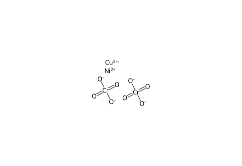 [Cu+2].[Ni+2].[O]=[Cr](=[O])([O-])[O-].[O]=[Cr](=[O])([O-])[O-]